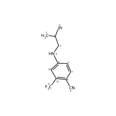 CC(C)C(C)CNc1ccc(C#N)c(C(F)(F)F)c1